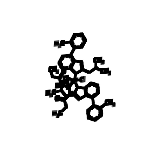 CCC(=O)N[B](NC(=O)CC)[Hf]([Cl])([Cl])([CH]1C(CC(C)C)=Cc2c(-c3ccccc3C)cccc21)[CH]1C(CC(C)C)=Cc2c(-c3ccccc3C)cccc21